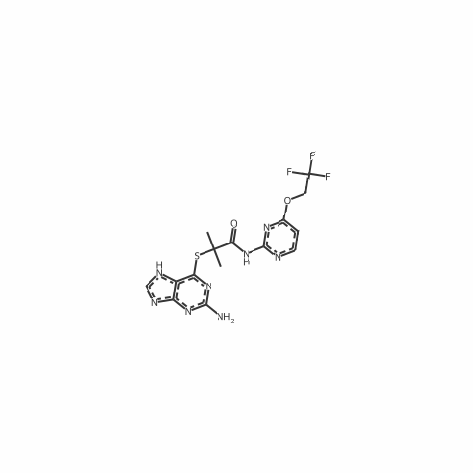 CC(C)(Sc1nc(N)nc2nc[nH]c12)C(=O)Nc1nccc(OCC(F)(F)F)n1